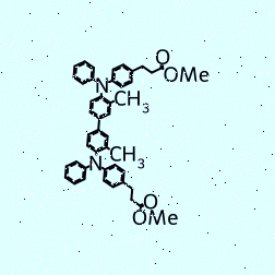 COC(=O)CCc1ccc(N(c2ccccc2)c2ccc(-c3ccc(N(c4ccccc4)c4ccc(CCC(=O)OC)cc4)c(C)c3)cc2C)cc1